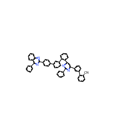 N#Cc1ccccc1-c1cccc(-c2cc(-c3ccccc3-c3cccc(-c4ccc(-c5nc(-c6ccccc6)c6ccccc6n5)cc4)c3)nc(-c3ccccc3)n2)c1